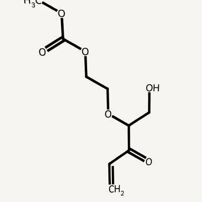 C=CC(=O)C(CO)OCCOC(=O)OC